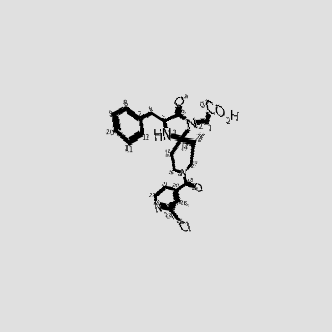 O=C(O)CN1C(=O)C(Cc2ccccc2)NC12CCN(C(=O)c1ccnc(Cl)c1)CC2